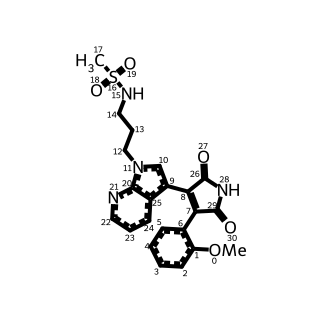 COc1ccccc1C1=C(c2cn(CCCNS(C)(=O)=O)c3ncccc23)C(=O)NC1=O